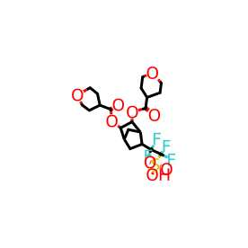 O=C(OC1C2CC(C1OC(=O)C1CCOCC1)C(C(F)(F)C(F)(F)S(=O)(=O)O)C2)C1CCOCC1